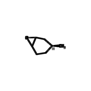 C[C@H]1CCC2OC2C1